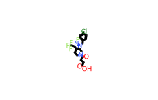 O=C(O)CCC(=O)N1CCc2c(C(F)(F)F)nn(Cc3ccc(Cl)cc3F)c2C1